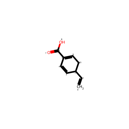 C=CC1C=CC(C(=O)O)=CC1